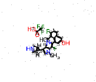 C#Cc1c(F)ccc2cc(O)cc(-c3ncc4c(C5[C@H]6CNC[C@@H]56)cn(C)c4c3F)c12.O=C(O)C(F)(F)F